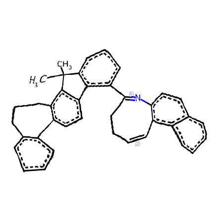 CC1(C)c2cccc(/C3=N/c4ccc5ccccc5c4/C=C\CC3)c2-c2ccc3c(c21)CCCc1ccccc1-3